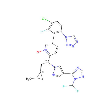 CC1C[C@@H]1C[C@H](c1ccc(-c2c(-n3cnnn3)ccc(Cl)c2F)c[n+]1[O-])n1cc(-c2ncnn2C(F)F)cn1